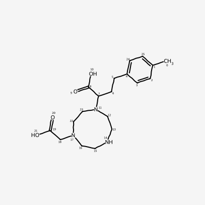 Cc1ccc(CCC(C(=O)O)N2CCNCCN(CC(=O)O)CC2)cc1